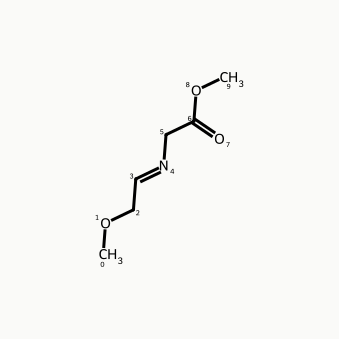 COCC=NCC(=O)OC